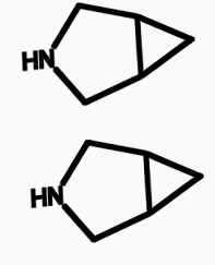 C1NCC2CC12.C1NCC2CC12